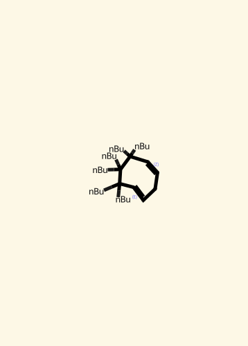 CCCCC1(CCCC)/C=C\C/C=C/C(CCCC)(CCCC)C1(CCCC)CCCC